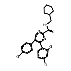 O=C(NCC1CCCCC1)c1ncc(-c2ccc(Cl)cc2)c(-c2ccc(Cl)cc2Cl)n1